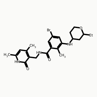 CCC1CC(Nc2cc(Br)cc(C(=O)NCc3c(C)cc(C)[nH]c3=O)c2C)CCO1